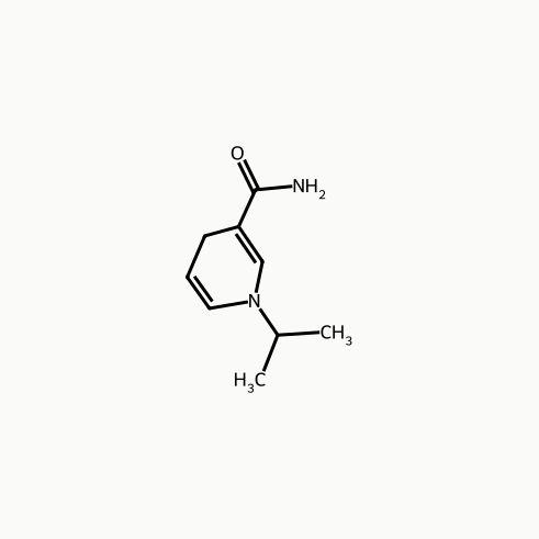 CC(C)N1C=CCC(C(N)=O)=C1